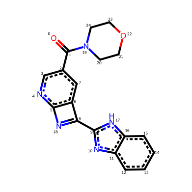 O=C(c1cnc2c(c1)C(c1nc3ccccc3[nH]1)=N2)N1CCOCC1